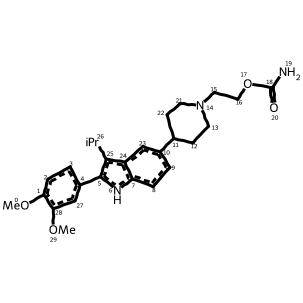 COc1ccc(-c2[nH]c3ccc(C4CCN(CCOC(N)=O)CC4)cc3c2C(C)C)cc1OC